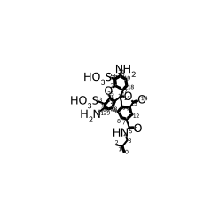 C=C(C)CNC(=O)c1ccc2c(c1)C(=O)OC21c2ccc(N)c(S(=O)(=O)O)c2Oc2c1ccc(N)c2S(=O)(=O)O